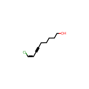 OCCCCCC#C/C=C\Cl